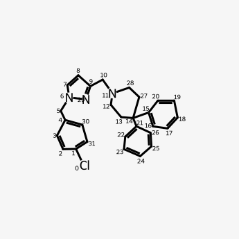 Clc1ccc(Cn2ccc(CN3CCC(c4ccccc4)(c4ccccc4)CC3)n2)cc1